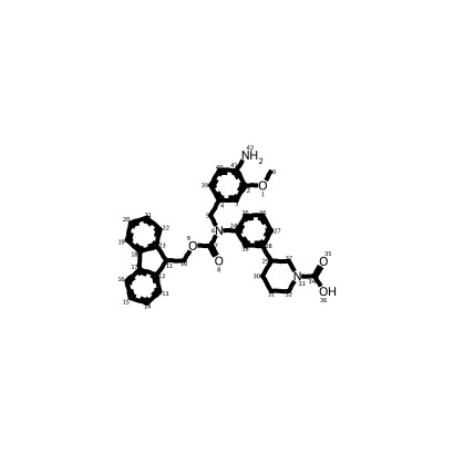 COc1cc(CN(C(=O)OCC2c3ccccc3-c3ccccc32)c2cccc(C3CCCN(C(=O)O)C3)c2)ccc1N